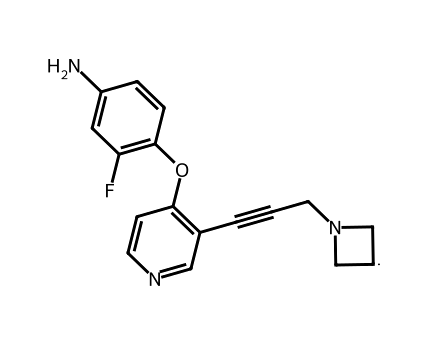 Nc1ccc(Oc2ccncc2C#CCN2C[CH]C2)c(F)c1